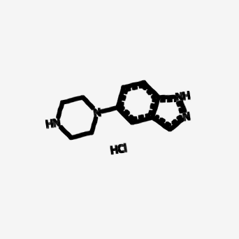 Cl.c1cc2[nH]ncc2cc1N1CCNCC1